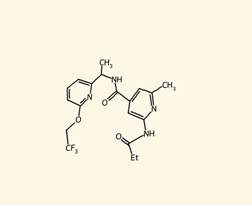 CCC(=O)Nc1cc(C(=O)NC(C)c2cccc(OCC(F)(F)F)n2)cc(C)n1